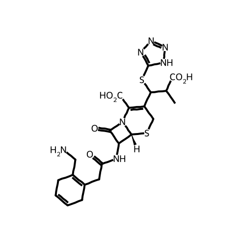 CC(C(=O)O)C(Sc1nnn[nH]1)C1=C(C(=O)O)N2C(=O)C(NC(=O)CC3=C(CN)CC=CC3)[C@H]2SC1